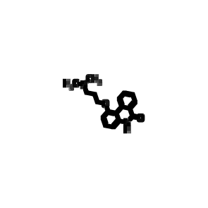 CN(C)CCCOc1cccc2[nH]c(=O)c3ccccc3c12